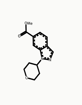 COC(=O)c1ccc2cnn(C3CCOCC3)c2c1